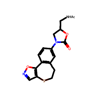 CC(=O)NCC1CN(c2ccc3c(c2)CCSc2cnoc2-3)C(=O)O1